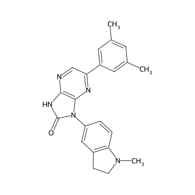 Cc1cc(C)cc(-c2cnc3[nH]c(=O)n(-c4ccc5c(c4)CCN5C)c3n2)c1